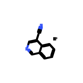 N#Cc1cncc2ccccc12.[H+]